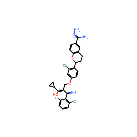 N=C(/C(COc1ccc(C2CCc3cc(/C(N)=N/N)ccc3O2)c(Cl)c1)=C(\O)C1CC1)c1c(Cl)cccc1Cl